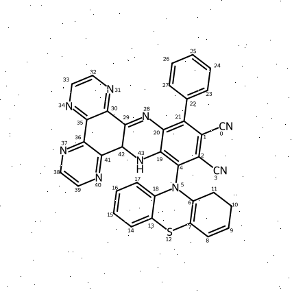 N#Cc1c(C#N)c(N2C3=C(C=CCC3)Sc3ccccc32)c2c(c1-c1ccccc1)N=C1c3nccnc3-c3nccnc3C1N2